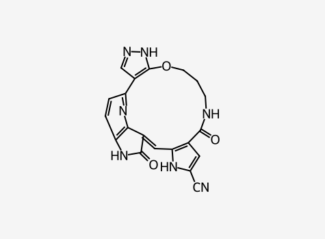 N#Cc1cc2c([nH]1)/C=C1\C(=O)Nc3ccc(nc31)-c1cn[nH]c1OCCCNC2=O